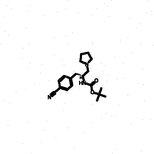 CC(C)(C)OC(=O)N[C@H](Cc1ccc(C#N)cc1)CN1CCCC1